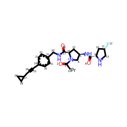 CC(C)C(=O)N1C[C@H](NC(=O)[C@@H]2C[C@H](F)CN2)C[C@@H]1C(=O)NCc1ccc(C#CC2CC2)cc1